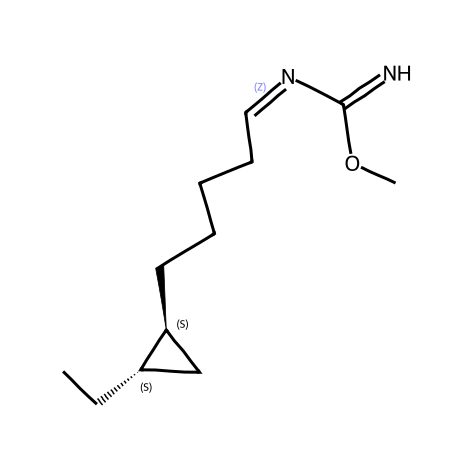 CC[C@H]1C[C@@H]1CCCC/C=N\C(=N)OC